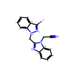 N#CCn1c(Cn2nc(I)c3ccccc32)nc2ccccc21